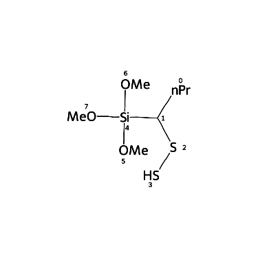 CCCC(SS)[Si](OC)(OC)OC